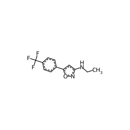 CCNc1cc(-c2ccc(C(F)(F)F)cc2)on1